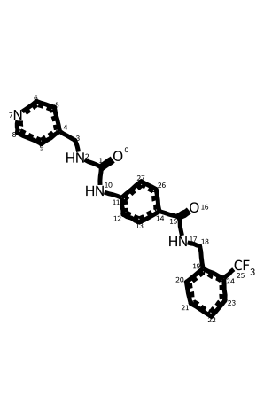 O=C(NCc1ccncc1)Nc1ccc(C(=O)NCc2ccccc2C(F)(F)F)cc1